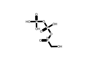 O=[PH](CO)OP(=O)(O)OP(=O)(O)O